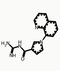 N=C(N)NC(=O)c1ccn(-c2cccc3cccnc23)c1